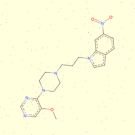 COc1cncnc1N1CCN(CCCn2ccc3ccc([N+](=O)[O-])cc32)CC1